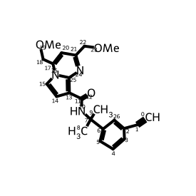 C#Cc1cccc(C(C)(C)NC(=O)c2ccn3c(COC)cc(COC)nc23)c1